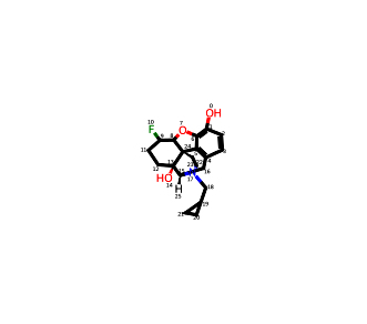 Oc1ccc2c3c1OC1C(F)CC[C@@]4(O)[C@@H](C2)N(CC2CC2)CC[C@]314